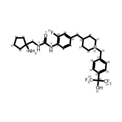 NC1(CNC(=O)Nc2ccc(CC3CCN(Cc4ccc(C(O)(C(F)(F)F)C(F)(F)F)cc4)CC3)cc2F)CCCC1